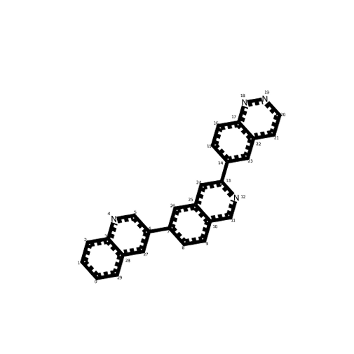 c1ccc2ncc(-c3ccc4cnc(-c5ccc6nnccc6c5)cc4c3)cc2c1